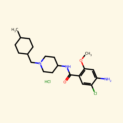 COc1cc(N)c(Cl)cc1C(=O)NC1CCN(CC2CCC(C)CC2)CC1.Cl